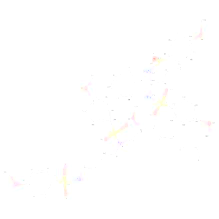 CCCCCCC(CN(CCCCNS(=O)(=O)c1ccc(OC)cc1)S(=O)(=O)c1ccc(OC)cc1)OCc1ccccc1C(CCCC)(NS(=O)(=O)c1ccc(OC)cc1)NS(=O)(=O)c1ccc(OC)cc1